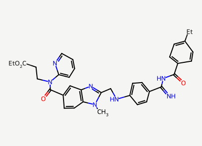 CCOC(=O)CCN(C(=O)c1ccc2c(c1)nc(CNc1ccc(C(=N)NC(=O)c3ccc(CC)cc3)cc1)n2C)c1ccccn1